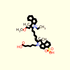 CC[N+]1=C(/C=C/C=C/C=C2/N(CCCCCC(=O)O)c3ccc4c(S(=O)(=O)O)cccc4c3C2(C)C)C(C)(CCOC)c2c1ccc1ccccc21